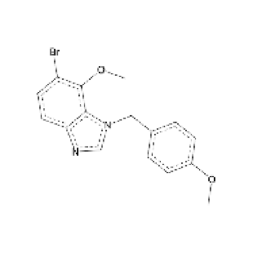 COc1ccc(Cn2cnc3ccc(Br)c(OC)c32)cc1